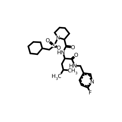 CC(C)CC(NC(=O)C1CCCCN1S(=O)(=O)CC1CCCCC1)C(=O)NCc1ccc(F)nc1